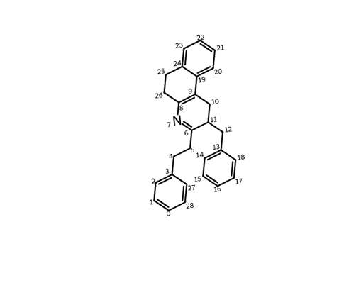 c1ccc(CCC2=NC3=C(CC2Cc2ccccc2)c2ccccc2CC3)cc1